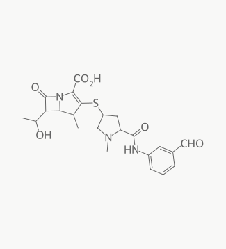 CC(O)C1C(=O)N2C(C(=O)O)=C(SC3CC(C(=O)Nc4cccc(C=O)c4)N(C)C3)C(C)C12